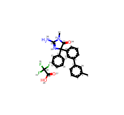 Cc1cccc(-c2cccc(C3(c4ccccc4)N=C(N)N(C)C3=O)c2)c1.O=C(O)C(F)(F)F